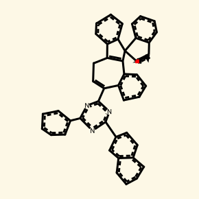 C1=C(c2nc(-c3ccccc3)nc(-c3ccc4ccccc4c3)n2)c2ccccc2C2=C(C1)c1ccccc1C21c2ccccc2-c2ccccc21